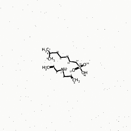 C=CCNCC=C.CC(C)CCCCCS(=O)(=O)O